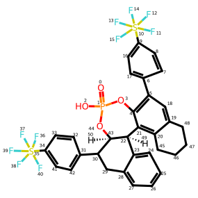 O=P1(O)Oc2c(-c3ccc(S(F)(F)(F)(F)F)cc3)cc3c(c2[C@H]2c4ccccc4CC(c4ccc(S(F)(F)(F)(F)F)cc4)[C@H]2O1)CCCC3